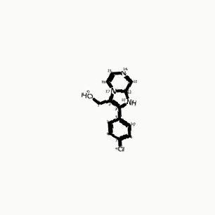 OCC1=C(c2ccc(Cl)cc2)NC2C=NC=CN12